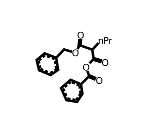 CCCC(C(=O)OCc1ccccc1)C(=O)OC(=O)c1ccccc1